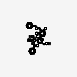 CO[C@@H]1[C@H](OC(=O)c2ccccc2)[C@@H](CO)O[C@@]1(C(=O)O)n1ccc(=O)n(COCc2ccccc2)c1=O